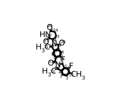 Cc1ccc2c(c1F)CN(C(=O)c1cc3c(cc1F)C(=O)N([C@H]1CCC(=O)NC1=O)[C@@H]3C)[C@H]2C